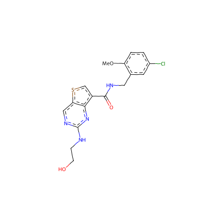 COc1ccc(Cl)cc1CNC(=O)c1csc2cnc(NCCO)nc12